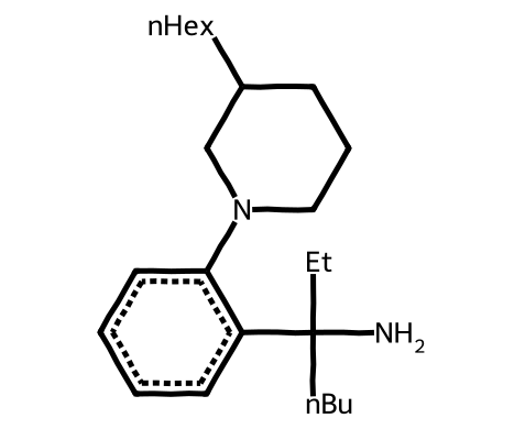 CCCCCCC1CCCN(c2ccccc2C(N)(CC)CCCC)C1